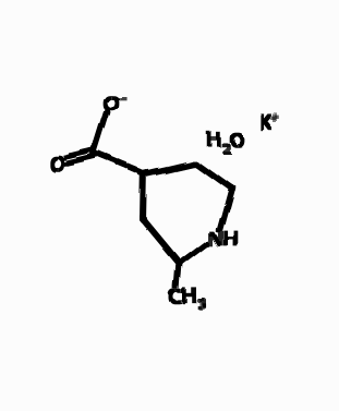 CC1CC(C(=O)[O-])CCN1.O.[K+]